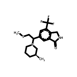 CSCC(c1cc2c(c(C(F)(F)F)c1)CNC2=O)N1CCC[C@H](C)C1